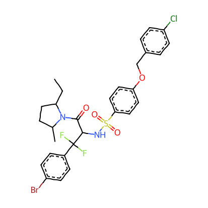 CCC1CCC(C)N1C(=O)C(NS(=O)(=O)c1ccc(OCc2ccc(Cl)cc2)cc1)C(F)(F)c1ccc(Br)cc1